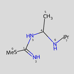 CSC(=N)NC(C)NC(C)C